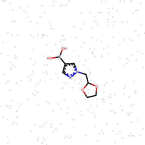 OB(O)c1cnn(CC2OCCO2)c1